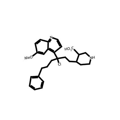 COc1ccc2nccc(C(Cl)(CCCc3ccccc3)CCC3CCNCC3C(=O)O)c2c1